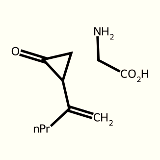 C=C(CCC)C1CC1=O.NCC(=O)O